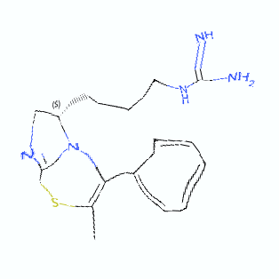 CC1=C(c2ccccc2)N2C(=NC[C@@H]2CCCNC(=N)N)S1